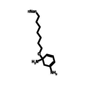 CCCCCCCCCCCCCCCCOC1(N)C=CC=C(N)C1